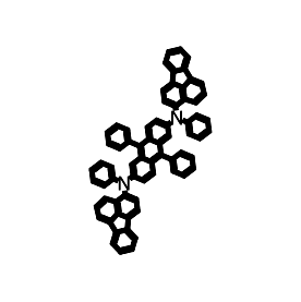 c1ccc(-c2c3ccc(N(c4ccccc4)c4ccc5c6c(cccc46)-c4ccccc4-5)cc3c(-c3ccccc3)c3ccc(N(c4ccccc4)c4ccc5c6c(cccc46)-c4ccccc4-5)cc23)cc1